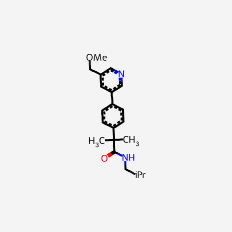 COCc1cncc(-c2ccc(C(C)(C)C(=O)NCC(C)C)cc2)c1